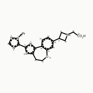 CC(C)n1ncnc1-c1nc2c(s1)CCOc1cc(C3CN(CC(=O)O)C3)ccc1-2